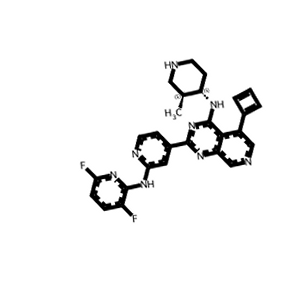 C[C@H]1CNCC[C@@H]1Nc1nc(-c2ccnc(Nc3nc(F)ccc3F)c2)nc2cncc(C3=CC=C3)c12